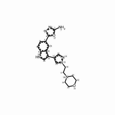 Nc1nnc(-c2ccc3[nH]cc(-c4cnn(CCN5CCOCC5)c4)c3c2)o1